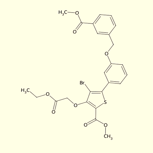 CCOC(=O)COc1c(C(=O)OC)sc(-c2cccc(OCc3cccc(C(=O)OC)c3)c2)c1Br